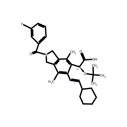 Cc1c(/C=C/C2CCCCC2)c([C@H](OC(C)(C)C)C(=O)O)c(C)c2c1CN(C(=O)c1cccc(F)c1)C2